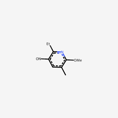 CCc1nc(OC)c(C)cc1N=O